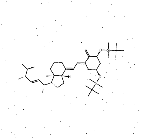 C=C1/C(=C/C=C2\CCC[C@]3(C)[C@@H]([C@H](C)/C=C/[C@H](C)C(C)C)CC[C@@H]23)C[C@H](O[Si](C)(C)C(C)(C)C)C[C@@H]1O[Si](C)(C)C(C)(C)C